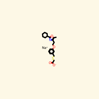 Cc1oc(C2CCCCC2)nc1CCOc1cccc(CSCC(=O)[O-])c1.[Na+]